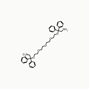 O=[N+]([O-])CC(OCCOCCOCCOCCOC(C[N+](=O)[O-])(c1ccccc1)c1ccccc1)(c1ccccc1)c1ccccc1